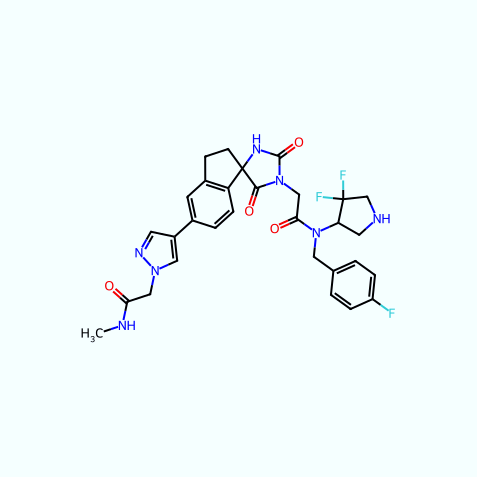 CNC(=O)Cn1cc(-c2ccc3c(c2)CCC32NC(=O)N(CC(=O)N(Cc3ccc(F)cc3)C3CNCC3(F)F)C2=O)cn1